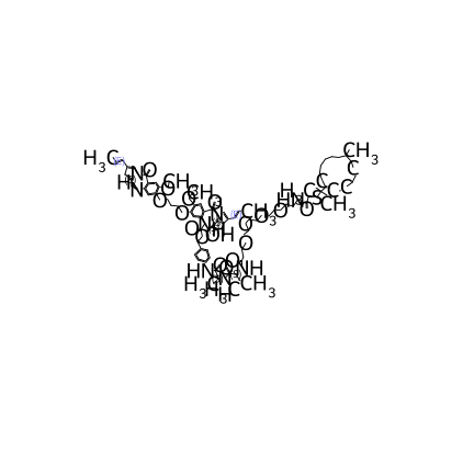 C/C=C/C1=CN2C(=O)c3cc(OC)c(OCCCOc4cc5c(cc4OC)C(=O)N4C=C(/C=C/C)C[C@H]4[C@H](O)N5C(=O)OCc4ccc(NC(=O)[C@H](C)NC(=O)[C@@H](NC(=O)CCOCCOCCOCCOCCNC(=O)CSC(CC)(CC)C5CCCCCCCC(C)CCCCCC5)C(C)C)cc4)cc3N=C[C@@H]2C1